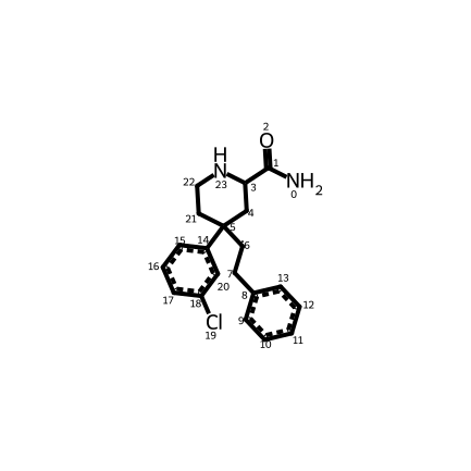 NC(=O)C1CC([CH]Cc2ccccc2)(c2cccc(Cl)c2)CCN1